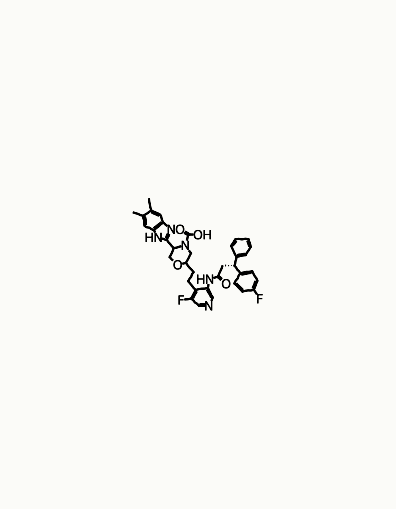 Cc1cc2nc(C3COC(CCc4c(F)cncc4NC(=O)C[C@H](c4ccccc4)c4ccc(F)cc4)CN3C(=O)O)[nH]c2cc1C